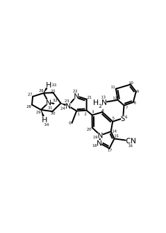 Cc1c(-c2cc(Sc3ccccc3N)c3c(C#N)cnn3c2)cnn1[C@@H]1C[C@H]2CC[C@@H](C1)N2C